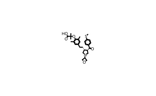 CSc1ccc(C(=O)[C@H]2CN(C3COC3)C[C@@H]2CCc2cc(C)c(OC(C)(C)C(=O)O)c(C)c2)cc1